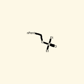 [CH2]CCCCCOP(=O)(CC)CC